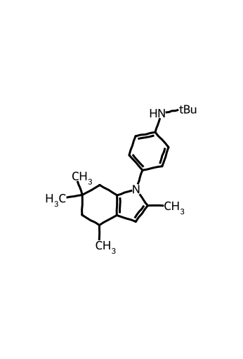 Cc1cc2c(n1-c1ccc(NC(C)(C)C)cc1)CC(C)(C)CC2C